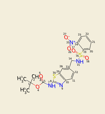 CC(C)(C)OC(=O)Nc1nc2ccc(CNS(=O)(=O)c3ccccc3[N+](=O)[O-])cc2s1